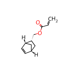 C=CC(=O)OC[C@@H]1C[C@@H]2C=C[C@H]1C2